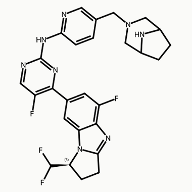 Fc1cnc(Nc2ccc(CN3CC4CCC(C3)N4)cn2)nc1-c1cc(F)c2nc3n(c2c1)[C@H](C(F)F)CC3